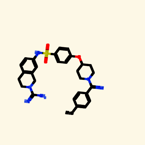 COc1ccc(C(=N)N2CCC(Oc3ccc(S(=O)(=O)Nc4ccc5c(c4)CN(C(=N)N)CC5)cc3)CC2)cc1